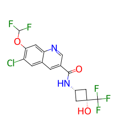 O=C(N[C@H]1C[C@](O)(C(F)(F)F)C1)c1cnc2cc(OC(F)F)c(Cl)cc2c1